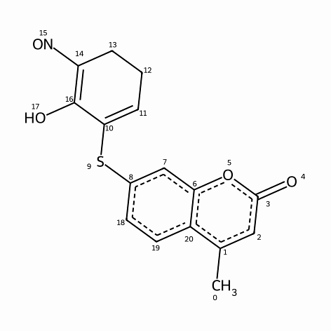 Cc1cc(=O)oc2cc(SC3=CCCC(N=O)=C3O)ccc12